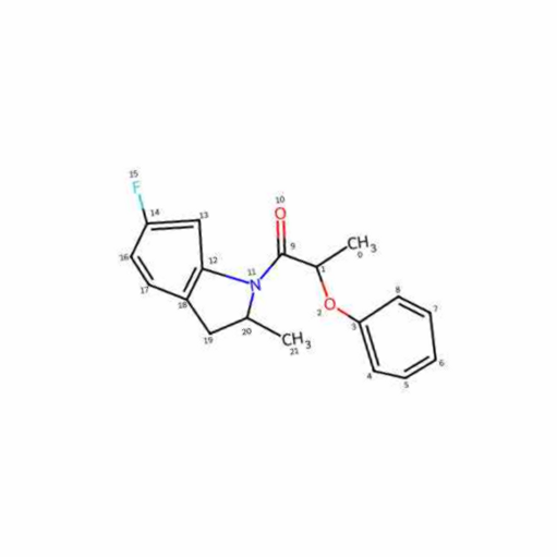 CC(Oc1ccccc1)C(=O)N1c2cc(F)ccc2CC1C